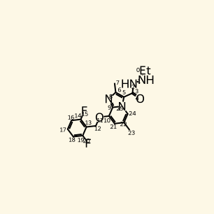 CCNNC(=O)c1c(C)nc2c(OCc3c(F)cccc3F)cc(C)cn12